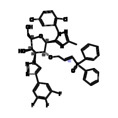 Cc1nc([C@@H]2O[C@H](CO)[C@H](O)[C@H](n3cc(-c4cc(F)c(F)c(F)c4)nn3)[C@H]2OC/C=C/P(=O)(c2ccccc2)c2ccccc2)n(-c2cc(Cl)ccc2Cl)n1